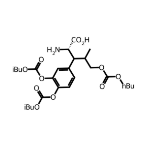 CCCCOC(=O)OCC(C)C(c1ccc(OC(=O)OCC(C)C)c(OC(=O)OCC(C)C)c1)[C@H](N)C(=O)O